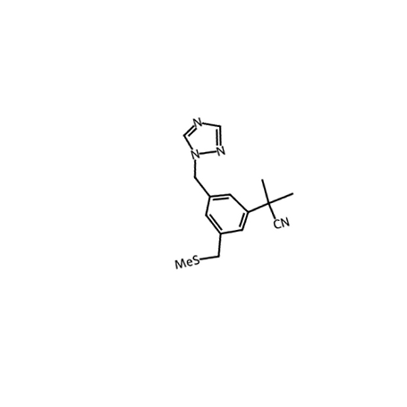 CSCc1cc(Cn2cncn2)cc(C(C)(C)C#N)c1